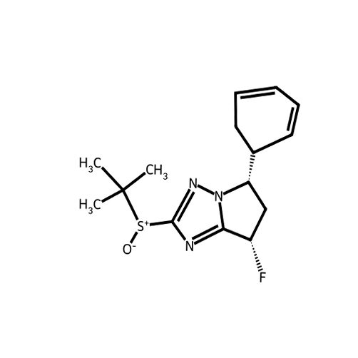 CC(C)(C)[S+]([O-])c1nc2n(n1)[C@H](C1C=CC=CC1)C[C@@H]2F